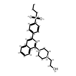 CCCS(=O)(=O)c1ccc(-c2cc3ccccc3c(N3CCN(CCO)CC3)n2)cc1